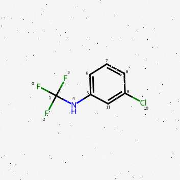 FC(F)(F)Nc1cccc(Cl)c1